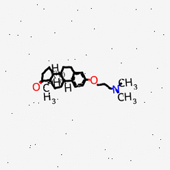 CN(C)CCCOc1ccc2c(c1)CC[C@@H]1[C@@H]2CC[C@]2(C)C(=O)CC[C@@H]12